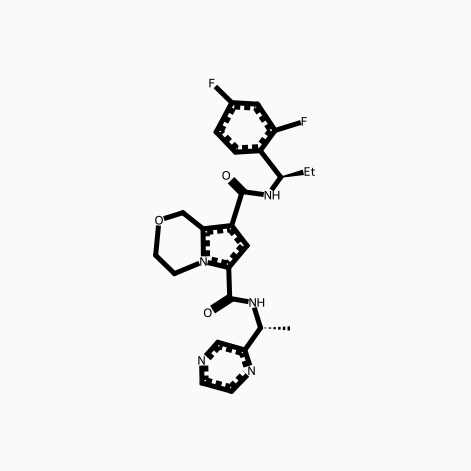 CC[C@@H](NC(=O)c1cc(C(=O)N[C@H](C)c2cnccn2)n2c1COCC2)c1ccc(F)cc1F